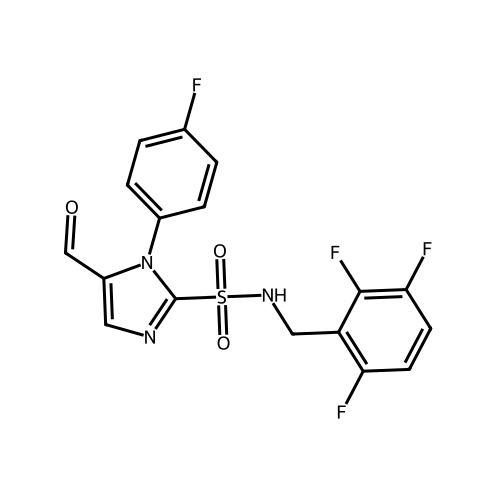 O=Cc1cnc(S(=O)(=O)NCc2c(F)ccc(F)c2F)n1-c1ccc(F)cc1